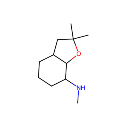 CNC1CCCC2CC(C)(C)OC21